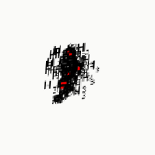 CC(C)C[C@@H](C(=O)O[C@H](Cc1ccc(C(C)(C)C)cc1)C(=O)N(C)[C@@H](CC(C)(C)F)C(=O)O[C@H](C)C(=O)N(C)[C@@H](CC(C)C)C(=O)O[C@](C=O)(Cc1ccc(C(C)(C)C)cc1)CN(C)[C@@H](CC(C)(C)F)C(=O)O[C@@](C)(C=O)COCc1ccccc1)N(C)C(=O)OC(C)(C)C